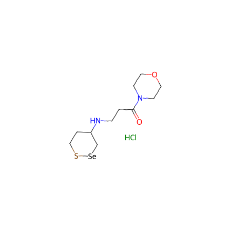 Cl.O=C(CCNC1CCS[Se]C1)N1CCOCC1